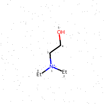 CC[N+](CC)CCO